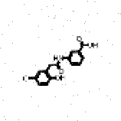 O=C(Cc1cc(Cl)ccc1O)Nc1cccc(C(=O)O)c1